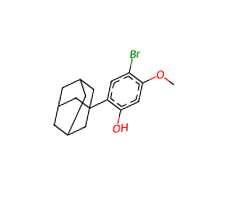 COc1cc(O)c(C23CC4CC(CC(C4)C2)C3)cc1Br